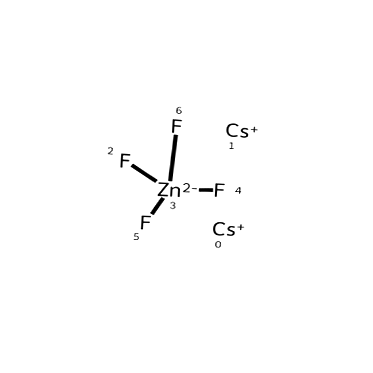 [Cs+].[Cs+].[F][Zn-2]([F])([F])[F]